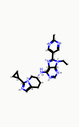 CCn1c(-c2cnc(C)nc2)nc2c(N[C@@H]3CCc4cnc(C5CC5)n4C3)ncnc21